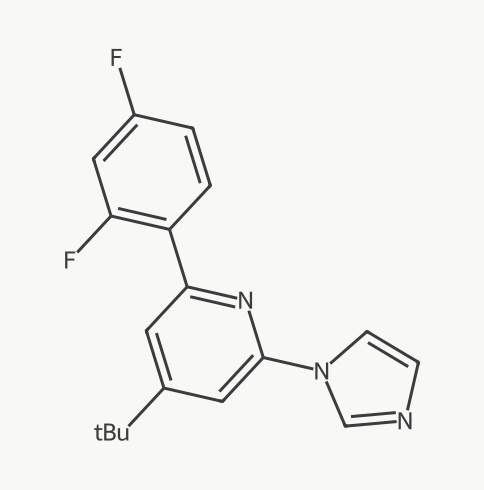 CC(C)(C)c1cc(-c2ccc(F)cc2F)nc(-n2ccnc2)c1